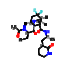 CC(C)C[C@@H](NC(=O)C(F)(F)F)C(=O)N1[C@H]2CC[C@@H]([C@H]1C(=O)N[C@H](C#N)C[C@@H]1CCCNC1=O)C(F)(F)C2